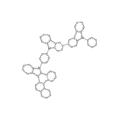 c1ccc(-n2c3ccccc3c3cc(-c4ccc5c(c4)c4ccccc4n5-c4ccc(-n5c6ccccc6c6c7ccc8ccccc8c7c7ccccc7c65)cc4)ccc32)cc1